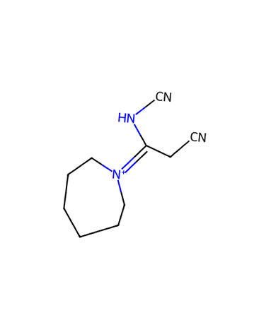 N#CCC(NC#N)=[N+]1CCCCCC1